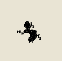 CCC1CC(N(Cc2cc(C(F)(F)F)cc(C(F)(F)F)c2)c2nnn(C)n2)c2cc(OC(F)(F)F)ccc2N1C(=O)CCCCC(=O)OC